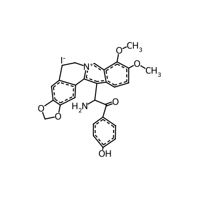 COc1ccc2c(C(N)C(=O)c3ccc(O)cc3)c3[n+](cc2c1OC)CCc1cc2c(cc1-3)OCO2.[I-]